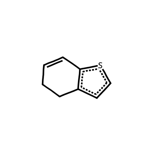 C1=Cc2sccc2CC1